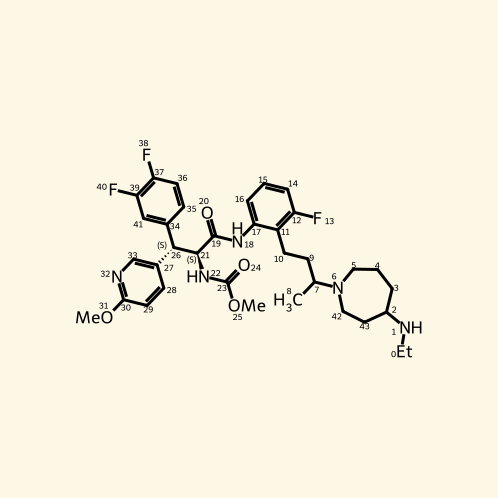 CCNC1CCCN(C(C)CCc2c(F)cccc2NC(=O)[C@@H](NC(=O)OC)[C@H](c2ccc(OC)nc2)c2ccc(F)c(F)c2)CC1